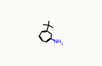 CC(C)(C)C1=CC=CC=C(N)C1